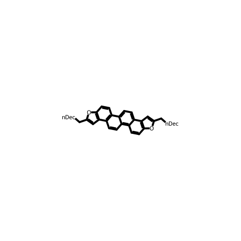 CCCCCCCCCCCc1cc2c(ccc3c2ccc2c4ccc5oc(CCCCCCCCCCC)cc5c4ccc32)o1